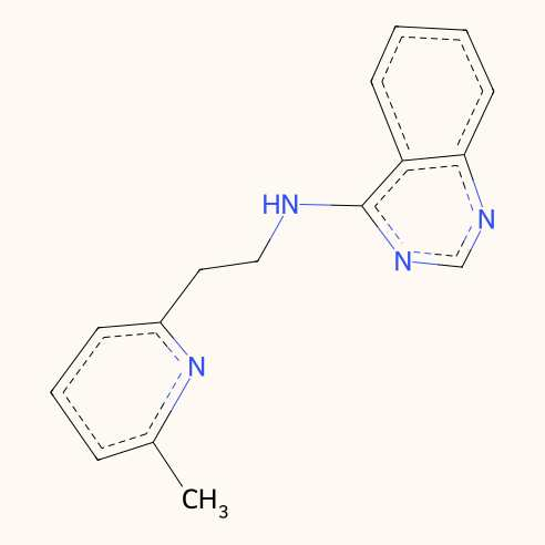 Cc1cccc(CCNc2ncnc3ccccc23)n1